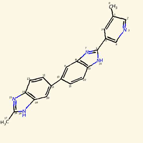 Cc1cncc(-c2nc3cc(-c4ccc5nc(C)[nH]c5c4)ccc3[nH]2)c1